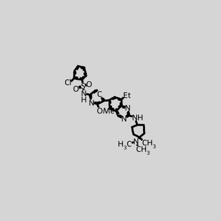 CCc1cc(-c2ccc(NS(=O)(=O)c3ccccc3Cl)nc2OC)cc2cnc(NC3CCC(C)(N(C)C)CC3)nc12